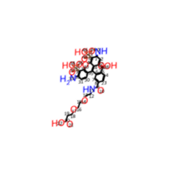 N=c1ccc2c(-c3cc(C(=O)NCCOCCOCCC(=O)O)ccc3C(=O)O)c3ccc(N)c(S(=O)(=O)O)c3oc-2c1S(=O)(=O)O